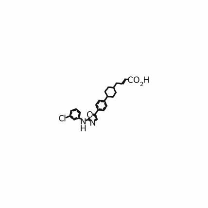 O=C(O)/C=C/CC1CCC(c2ccc(-c3cnc(Nc4cccc(Cl)c4)o3)cc2)CC1